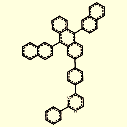 c1ccc(-c2nccc(-c3ccc(-c4ccc5c(-c6ccc7ccccc7c6)c6ccccc6c(-c6ccc7ccccc7c6)c5c4)cc3)n2)cc1